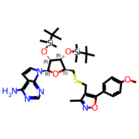 COc1ccc(-c2onc(C)c2CSC[C@H]2O[C@@H](n3ccc4c(N)ncnc43)[C@H](O[Si](C)(C)C(C)(C)C)[C@@H]2O[Si](C)(C)C(C)(C)C)cc1